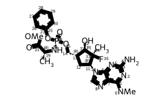 CNc1nc(N)nc2c1ncn2[C@@H]1C[C@H](CO[P@@](=O)(N[C@H](C)C(=O)OC)Oc2ccccc2)[C@@H](O)[C@@]1(C)F